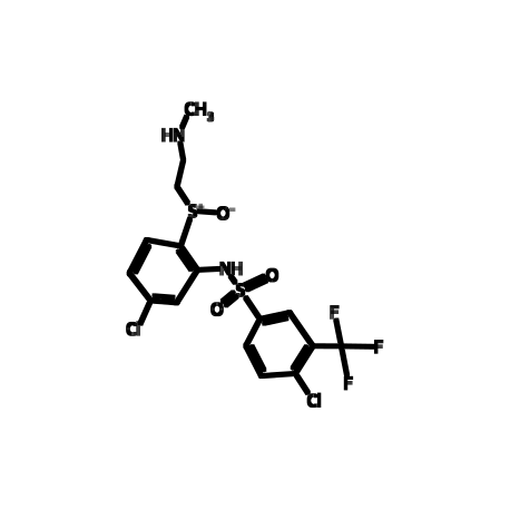 CNCC[S+]([O-])c1ccc(Cl)cc1NS(=O)(=O)c1ccc(Cl)c(C(F)(F)F)c1